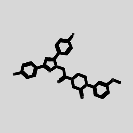 COc1cccc(N2CCN(C(=O)Cn3nc(-c4ccc(F)cc4)nc3-c3ccc(F)cc3)CC2=O)c1